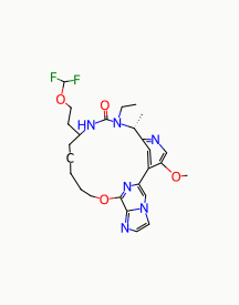 CCN1C(=O)NC(CCOC(F)F)CCCCCOc2nc(cn3ccnc23)-c2cc(ncc2OC)[C@H]1C